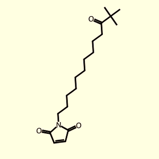 CC(C)(C)C(=O)CCCCCCCCCCN1C(=O)C=CC1=O